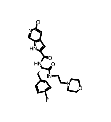 O=C(N[C@@H](Cc1ccc(F)cc1)C(=O)NCCN1CCOCC1)c1cc2cc(Cl)ncc2[nH]1